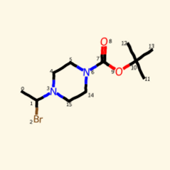 CC(Br)N1CCN(C(=O)OC(C)(C)C)CC1